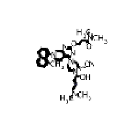 Cc1cccc2cccc(N3CCc4c(nc(OCCC(=O)N(C)C)nc4N4CCN(C(O)/C=C/CN(C)C)[C@@H](CC#N)C4)C3)c12